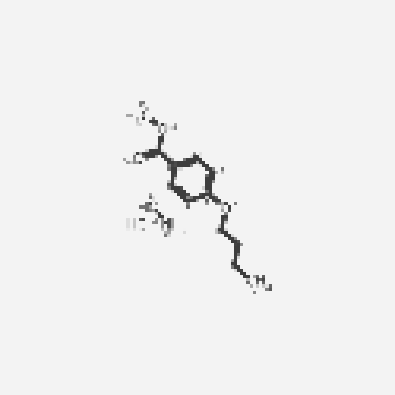 CCCCOc1ccc(C(=O)OC)cc1.Cl.NO